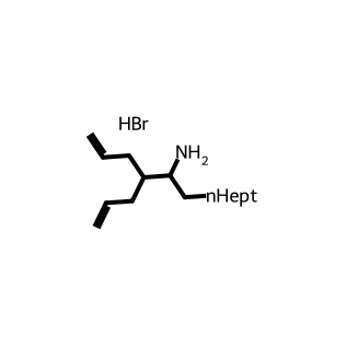 Br.C=CCC(CC=C)C(N)CCCCCCCC